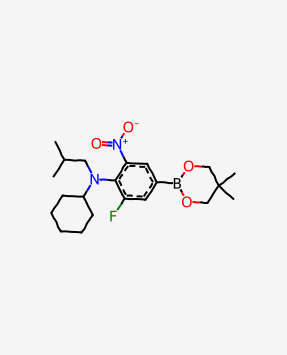 CC(C)CN(c1c(F)cc(B2OCC(C)(C)CO2)cc1[N+](=O)[O-])C1CCCCC1